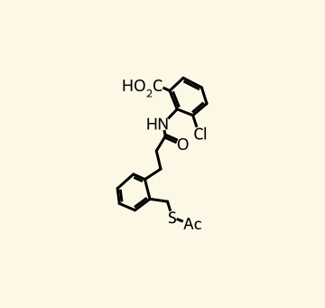 CC(=O)SCc1ccccc1CCC(=O)Nc1c(Cl)cccc1C(=O)O